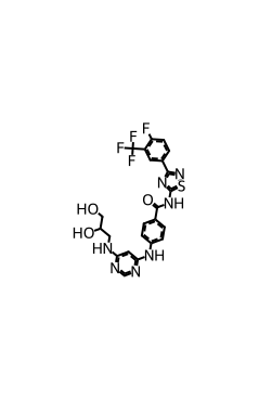 O=C(Nc1nc(-c2ccc(F)c(C(F)(F)F)c2)ns1)c1ccc(Nc2cc(NCC(O)CO)ncn2)cc1